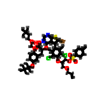 C=CCOCC(COS(=O)(=O)c1ccc(C)cc1)Oc1c(Cl)c(C)c(-c2c(Br)sc3ncnc(OC(Cc4cc(O[Si](C)(C)C(C)(C)C)ccc4OCOCC[Si](C)(C)C)C(=O)O)c23)c(C)c1Cl